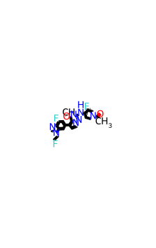 COc1nc(N[C@H]2CCN(C(C)=O)C[C@H]2F)nn2ccc(-c3cc(F)c4ncn(CCF)c4c3)c12